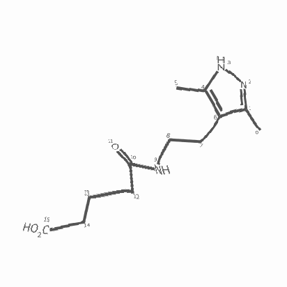 Cc1n[nH]c(C)c1CCNC(=O)CCCC(=O)O